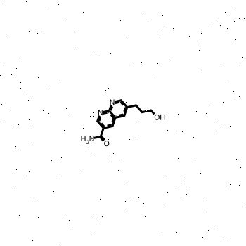 NC(=O)c1cnc2ncc(CCCO)cc2c1